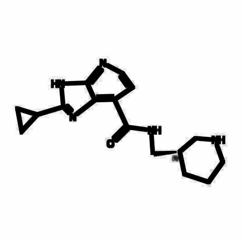 O=C(NC[C@H]1CCCNC1)c1ccnc2[nH]c(C3CC3)nc12